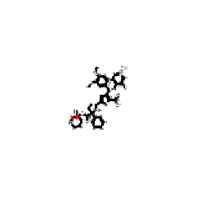 CCC(NCc1cc([C@@H](Cc2c(Cl)c[n+](O)cc2Cl)c2ccc(OC)c(OC)c2)c(C(=O)[O-])s1)(C(=O)O[C@H]1CN2CCC1CC2)c1ccccc1